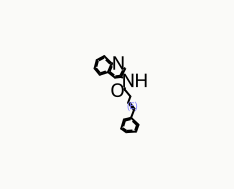 O=C(C/C=C/c1ccccc1)Nc1cnc2ccccc2c1